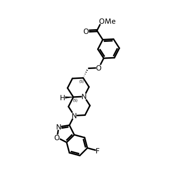 COC(=O)c1cccc(OC[C@H]2CC[C@H]3CN(c4noc5ccc(F)cc45)CCN3C2)c1